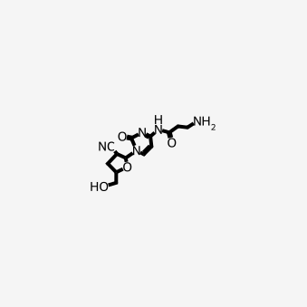 N#CC1CC(CO)OC1n1ccc(NC(=O)CCN)nc1=O